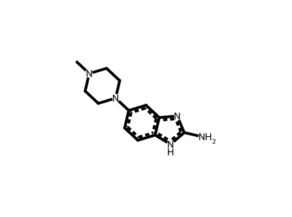 CN1CCN(c2ccc3[nH]c(N)nc3c2)CC1